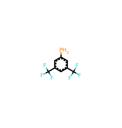 FC(F)(F)c1cc(P)cc(C(F)(F)F)c1